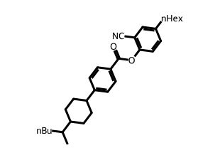 CCCCCCc1ccc(OC(=O)c2ccc(C3CCC(C(C)CCCC)CC3)cc2)c(C#N)c1